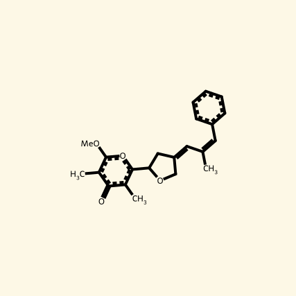 COc1oc(C2C/C(=C/C(C)=C\c3ccccc3)CO2)c(C)c(=O)c1C